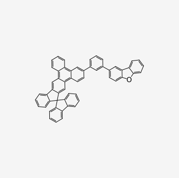 c1cc(-c2ccc3oc4ccccc4c3c2)cc(-c2ccc3c(c2)c2ccccc2c2cc4c(cc32)C2(c3ccccc3-c3ccccc32)c2ccccc2-4)c1